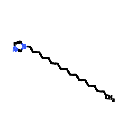 CCCCCCCCCCCCCCCCCCn1ccnc1